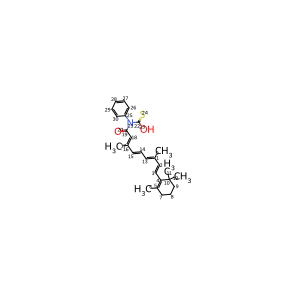 CC(C=CC1=C(C)CCCC1(C)C)=CC=CC(C)=CC(=O)N(C(O)=S)c1ccccc1